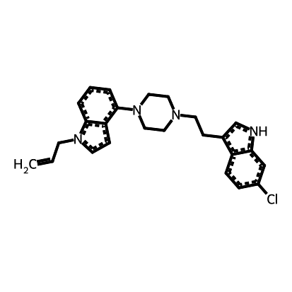 C=CCn1ccc2c(N3CCN(CCc4c[nH]c5cc(Cl)ccc45)CC3)cccc21